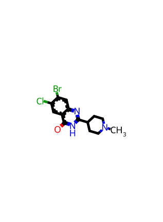 CN1CCC(c2nc3cc(Br)c(Cl)cc3c(=O)[nH]2)CC1